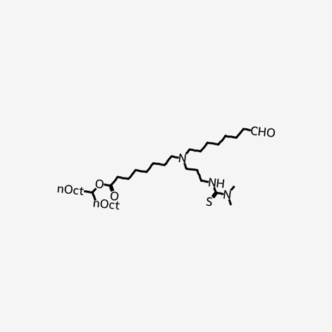 CCCCCCCCC(CCCCCCCC)OC(=O)CCCCCCCN(CCCCCCCC=O)CCCNC(=S)N(C)C